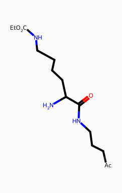 CCOC(=O)NCCCCC(N)C(=O)NCCCC(C)=O